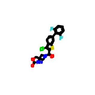 O=C1NC2(CO1)CN(C(=O)c1sc3cc(-c4c(F)cccc4F)ccc3c1Cl)C2